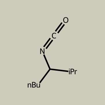 CCCCC(N=C=O)C(C)C